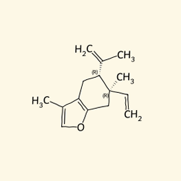 C=C[C@@]1(C)Cc2occ(C)c2C[C@@H]1C(=C)C